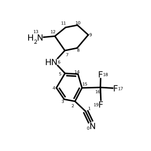 N#Cc1ccc(NC2CCCCC2N)cc1C(F)(F)F